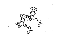 CC(=O)OCCOc1cc2c(cc1[N+](=O)[O-])OCO2.CC(=O)OCCOc1cc2c(cc1[N+](=O)[O-])OCO2